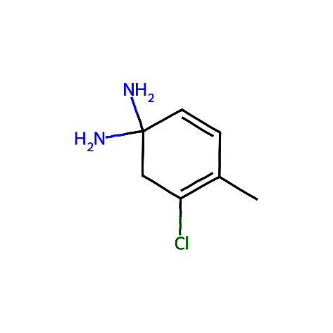 CC1=C(Cl)CC(N)(N)C=C1